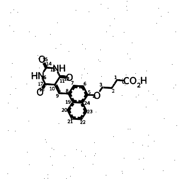 O=C(O)CCCOc1ccc(C=C2C(=O)NC(=O)NC2=O)c2ccccc12